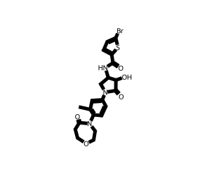 Cc1cc(N2CC(NC(=O)c3ccc(Br)s3)C(O)C2=O)ccc1N1CCOCCC1=O